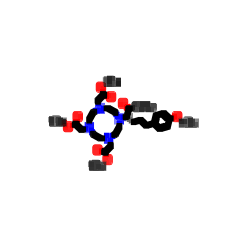 CCCCOc1ccc(CCC[C@@H](C(=O)OC)N2CCN(CC(=O)OC(C)(C)C)CCN(CC(=O)OC(C)(C)C)CCN(CC(=O)OC(C)(C)C)CC2)cc1